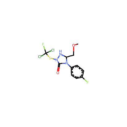 COCC1NN(SC(F)(Cl)Cl)C(=O)N1c1ccc(F)cc1